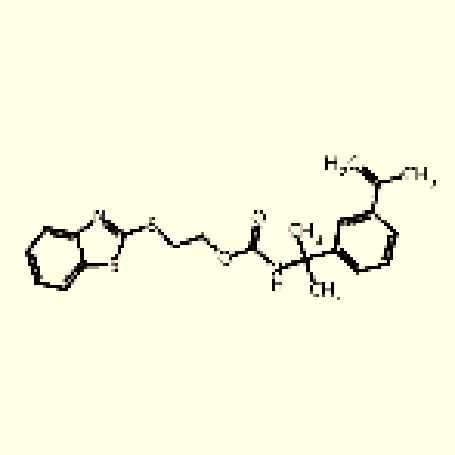 C=C(C)c1cccc(C(C)(C)NC(=O)OCCSc2nc3ccccc3s2)c1